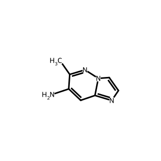 Cc1nn2ccnc2cc1N